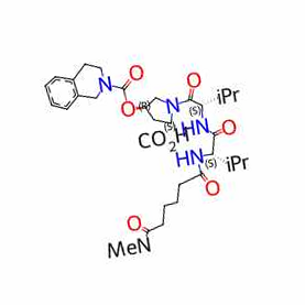 CNC(=O)CCCCC(=O)N[C@H](C(=O)N[C@H](C(=O)N1C[C@H](OC(=O)N2CCc3ccccc3C2)C[C@H]1C(=O)O)C(C)C)C(C)C